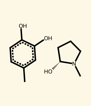 CN1CCC[C@H]1O.Cc1ccc(O)c(O)c1